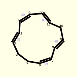 C1=C\C=C\CC/C=C\C=C\C/C=C/1